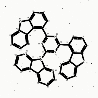 c1ccc2c(c1)oc1cccc(-c3nc(-c4cccc5oc6ccccc6c45)nc(-n4c5ncccc5c5cccnc54)n3)c12